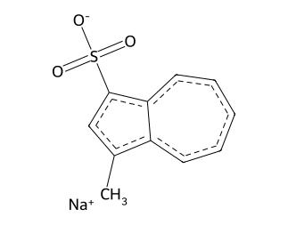 Cc1cc(S(=O)(=O)[O-])c2cccccc1-2.[Na+]